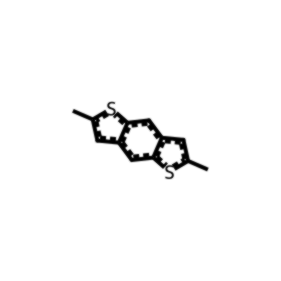 Cc1cc2cc3sc(C)cc3cc2s1